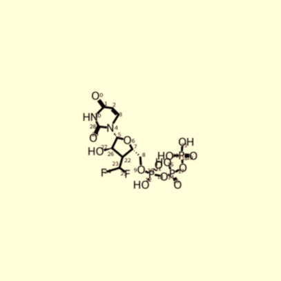 O=c1ccn([C@@H]2O[C@H](COP(=O)(O)OP(=O)(O)OP(=O)(O)O)C(C(F)F)[C@H]2O)c(=O)[nH]1